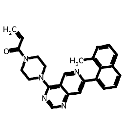 C=CC(=O)N1CCN(c2ncnc3cc(-c4cccc5cccc(C)c45)ncc23)CC1